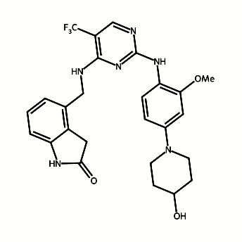 COc1cc(N2CCC(O)CC2)ccc1Nc1ncc(C(F)(F)F)c(NCc2cccc3c2CC(=O)N3)n1